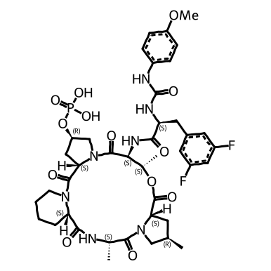 COc1ccc(NC(=O)N[C@@H](Cc2cc(F)cc(F)c2)C(=O)N[C@@H]2C(=O)N3C[C@H](OP(=O)(O)O)C[C@H]3C(=O)N3CCCC[C@H]3C(=O)N[C@@H](C)C(=O)N3C[C@H](C)C[C@H]3C(=O)O[C@H]2C)cc1